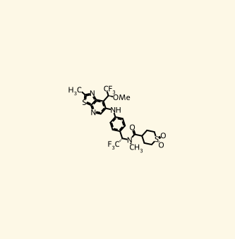 CO[C@@H](c1c(Nc2ccc([C@H](N(C)C(=O)C3CCS(=O)(=O)CC3)C(F)(F)F)cc2)cnc2sc(C)nc12)C(F)(F)F